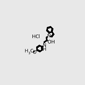 COc1ccc(NCC(O)Cn2ccc3ccccc32)cc1.Cl